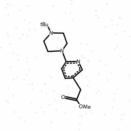 COC(=O)Cc1ccc(N2CCN(C(C)(C)C)CC2)nc1